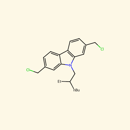 CCCCC(CC)Cn1c2cc(CCl)ccc2c2ccc(CCl)cc21